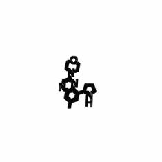 Cc1cc(C2CCCN2)c2nc(N3CCOCC3)cnc2c1